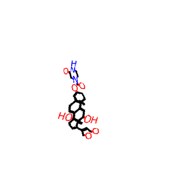 CC12CCC(OC(=O)N3CCNC(=O)C3)CC1CCC1C2CC(O)C2(C)C(C3=CC(=O)OC3)CCC12O